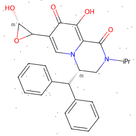 CC(C)N1C[C@H](C(c2ccccc2)c2ccccc2)n2cc(C3O[C@@H]3O)c(=O)c(O)c2C1=O